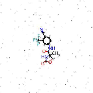 CC1(C(=O)Nc2ccc(C#N)c(C(F)(F)F)c2)COC(=O)N1